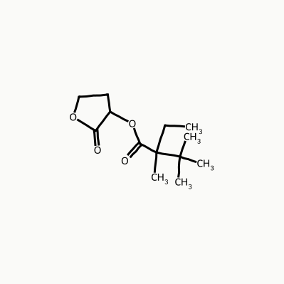 CCC(C)(C(=O)OC1CCOC1=O)C(C)(C)C